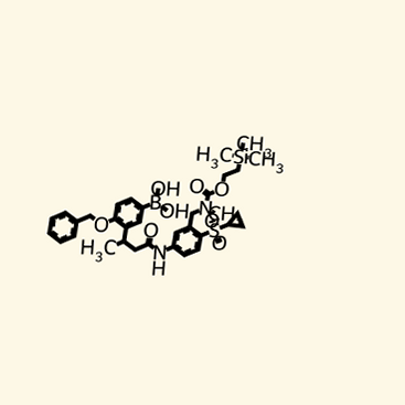 CC(CC(=O)Nc1ccc(S(=O)(=O)C2CC2)c(CN(C)C(=O)OCC[Si](C)(C)C)c1)c1cc(B(O)O)ccc1OCc1ccccc1